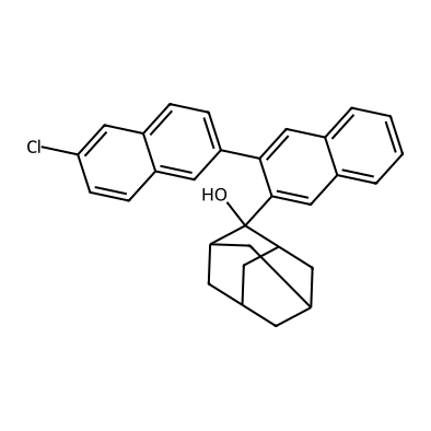 OC1(c2cc3ccccc3cc2-c2ccc3cc(Cl)ccc3c2)C2CC3CC(C2)CC1C3